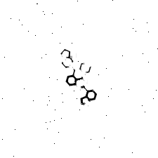 c1cc(CN2CCN3CCC[C@H]3C2)c2c(N3CCOCC3)nc(-c3cccc4[nH]ccc34)nc2c1